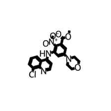 COC(=O)c1cc(N2CCOCC2)cc(Nc2ccnc3c(Cl)cccc23)c1[N+](=O)[O-]